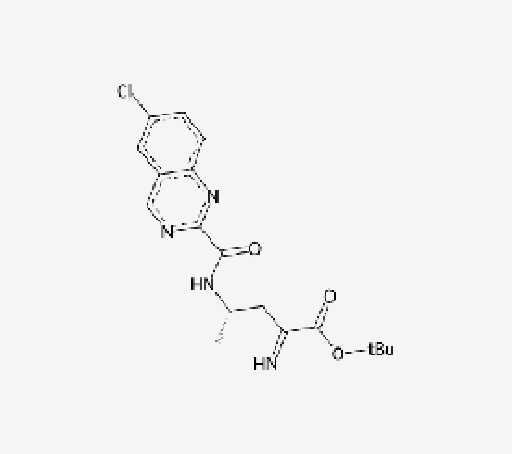 C[C@@H](CC(=N)C(=O)OC(C)(C)C)NC(=O)c1ncc2cc(Cl)ccc2n1